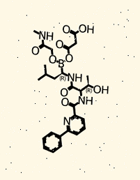 CNC(=O)COB(OC(=O)CC(=O)O)[C@H](CC(C)C)NC(=O)C(NC(=O)c1cccc(-c2ccccc2)n1)[C@@H](C)O